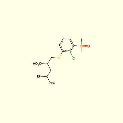 CCCCC(CC)CC(CSc1cccc(P(C)(C)=O)c1Cl)C(=O)O